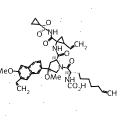 C=CCCCCC[C@H](NC(=O)O)C(=O)N1C[C@](OC)(c2ccc3cc(OC)c(C=C)cc3c2)C[C@H]1C(=O)NC1(C(=O)NS(=O)(=O)C2CC2)CC1C=C